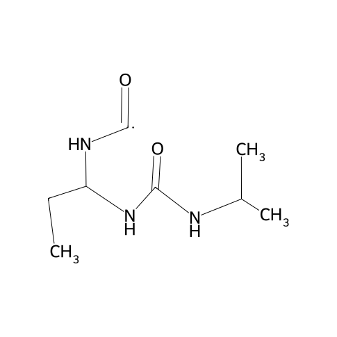 CCC(N[C]=O)NC(=O)NC(C)C